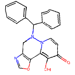 O=c1ccn2c(c1O)-c1ocnc1CN2C(c1ccccc1)c1ccccc1